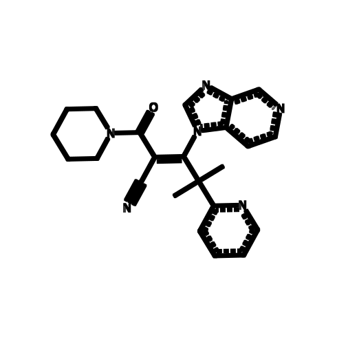 CC(C)(C(=C(C#N)C(=O)N1CCCCC1)n1cnc2cnccc21)c1ccccn1